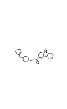 CN1c2ccc(C(=O)CCC3CCN(Cc4ccccc4)CC3)cc2C2CCCCC21